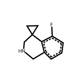 Fc1cccc2c1C1(CC1)CNC2